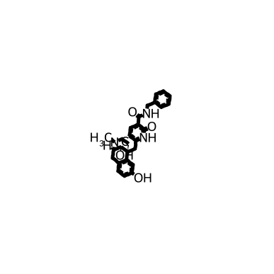 CN1CC[C@@]23Cc4[nH]c(=O)c(C(=O)NCc5ccccc5)cc4C[C@]2(O)[C@@H]1Cc1ccc(O)cc13